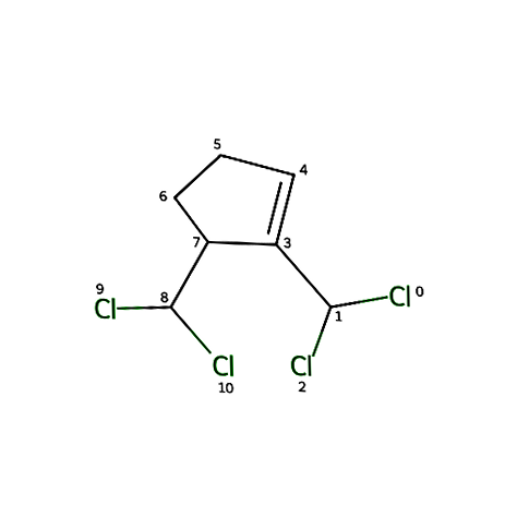 ClC(Cl)C1=CCCC1C(Cl)Cl